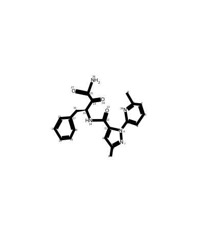 Cc1cccc(-n2nc(C)cc2C(=O)N[C@@H](Cc2ccccc2)C(=O)C(N)=O)n1